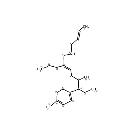 CC=CCNC/C(=C/CC(C)C(CC)C1=CC=C(C)CC1)CCC